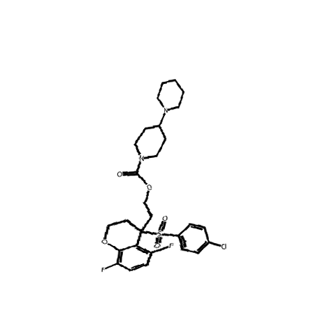 O=C(OCCC1(S(=O)(=O)c2ccc(Cl)cc2)CCOc2c(F)ccc(F)c21)N1CCC(N2CCCCC2)CC1